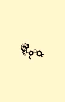 CC[C@@H]1C[C@@H](OC2CCC(C)(C)CC2)C[C@@H]1c1nnc2cnc3[nH]ccc3n12